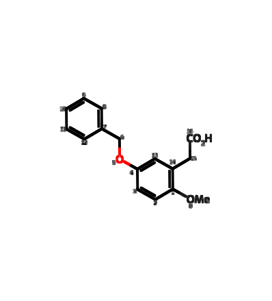 COc1ccc(OCc2ccccc2)cc1CC(=O)O